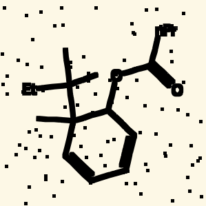 CCCC(=O)OC1C=CC=CC1(C)C(C)(C)CC